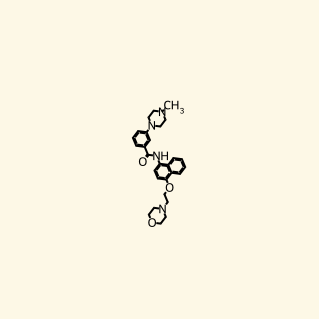 CN1CCN(c2cccc(C(=O)Nc3ccc(OCCN4CCOCC4)c4ccccc34)c2)CC1